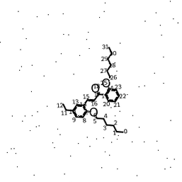 CCCCCCOc1ccc(CC)cc1C=CC(=O)c1ccccc1OCCCCCC